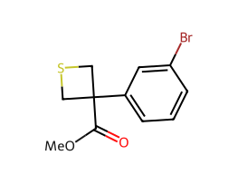 COC(=O)C1(c2cccc(Br)c2)CSC1